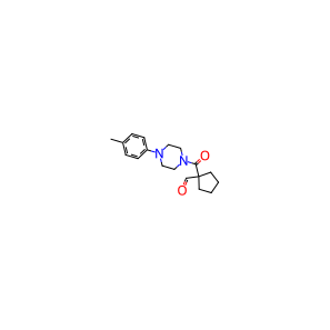 Cc1ccc(N2CCN(C(=O)C3(C=O)CCCC3)CC2)cc1